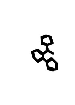 CN(c1ccccc1)c1ccccc1-c1c#cccc1